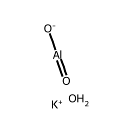 O.[K+].[O]=[Al][O-]